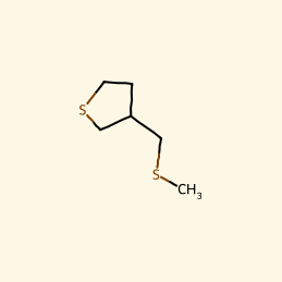 CSCC1CCSC1